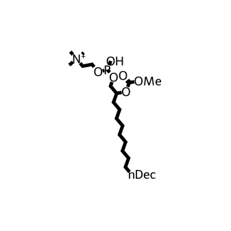 CCCCCCCCCCCCCCCCCCCC(COP(O)OCC[N+](C)(C)C)OC(=O)OC